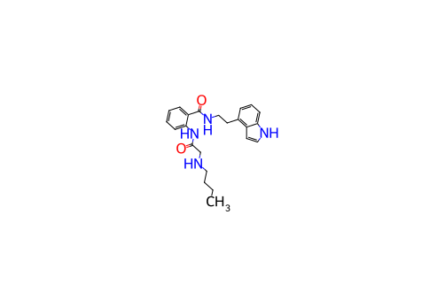 CCCCNCC(=O)Nc1ccccc1C(=O)NCCc1cccc2[nH]ccc12